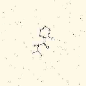 CCC(C)NC(=O)c1ccccc1F